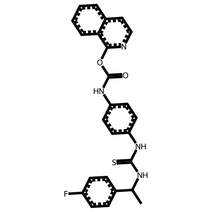 CC(NC(=S)Nc1ccc(NC(=O)Oc2nccc3ccccc23)cc1)c1ccc(F)cc1